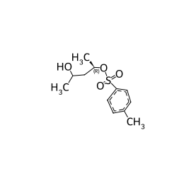 Cc1ccc(S(=O)(=O)O[C@H](C)CC(C)O)cc1